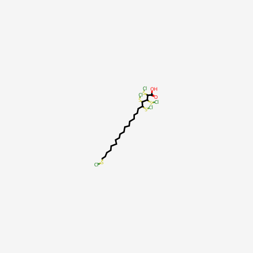 O=C(O)C(SCl)C(SCl)C(SCl)C(CCCCCCCCCCCCCCCCCSCl)SCl